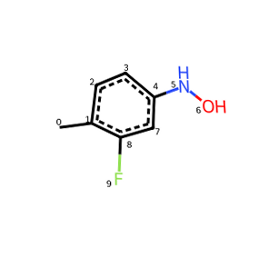 Cc1ccc(NO)cc1F